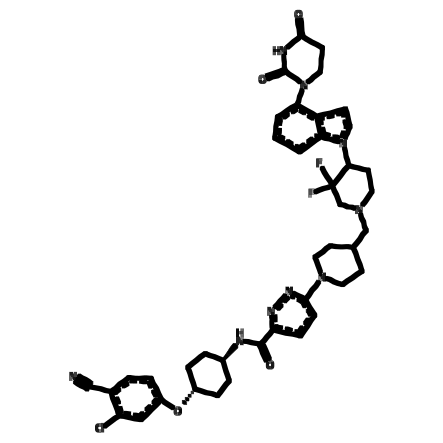 N#Cc1ccc(O[C@H]2CC[C@H](NC(=O)c3ccc(N4CCC(CN5CCC(n6ccc7c(N8CCC(=O)NC8=O)cccc76)C(F)(F)C5)CC4)nn3)CC2)cc1Cl